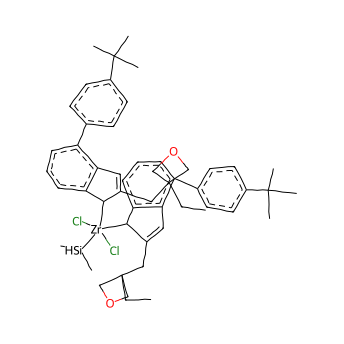 CCC1(CC2=Cc3c(-c4ccc(C(C)(C)C)cc4)cccc3[CH]2[Zr]([Cl])([Cl])([CH]2C(CC3(CC)COC3)=Cc3c(-c4ccc(C(C)(C)C)cc4)cccc32)[SiH](C)C)COC1